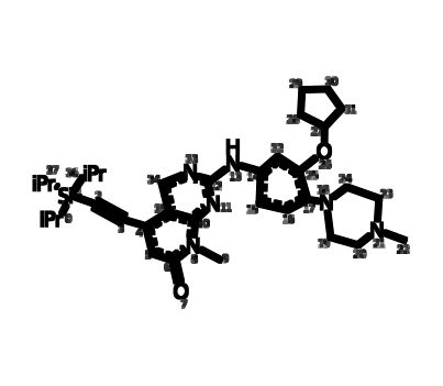 CC(C)[Si](C#Cc1cc(=O)n(C)c2nc(Nc3ccc(N4CCN(C)CC4)c(OC4CCCC4)c3)ncc12)(C(C)C)C(C)C